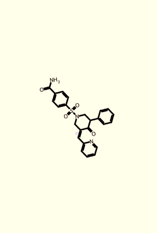 NC(=O)c1ccc(S(=O)(=O)N2C/C(=C/c3ccccn3)C(=O)C(c3ccccc3)C2)cc1